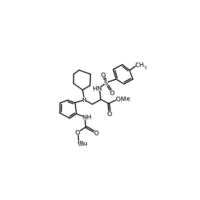 COC(=O)C(CN(c1ccccc1NC(=O)OC(C)(C)C)C1CCCCC1)NS(=O)(=O)c1ccc(C)cc1